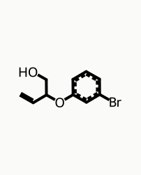 C=CC(CO)Oc1cccc(Br)c1